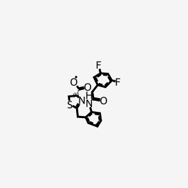 COC(=O)[C@H]1CSC(Cc2ccccc2NC(=O)Cc2cc(F)cc(F)c2)=N1